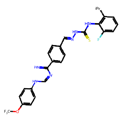 CC(C)c1cccc(F)c1NC(=S)N/N=C/c1ccc(C(=N)/N=C\Nc2ccc(OC(F)(F)F)cc2)cc1